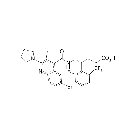 Cc1c(N2CCCC2)nc2ccc(Br)cc2c1C(=O)NCC(CCC(=O)O)c1c(F)cccc1C(F)(F)F